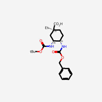 CC[C@]1(C(=O)O)CC[C@H](NC(=O)OCc2ccccc2)[C@H](NC(=O)OC(C)(C)C)C1